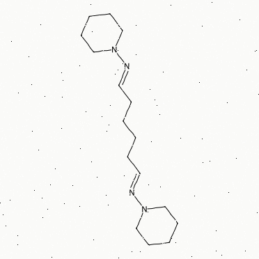 C(CCCCC=NN1CCCCC1)=NN1CCCCC1